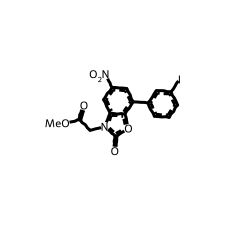 COC(=O)Cn1c(=O)oc2c(-c3cccc(I)c3)cc([N+](=O)[O-])cc21